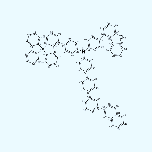 c1ccc(C2(c3ccccc3)c3ccccc3-c3c(-c4ccc(N(c5ccc(-c6ccc(-c7cccc(-c8ccc9ccccc9c8)c7)cc6)cc5)c5ccc(-c6cccc7oc8ccccc8c67)cc5)cc4)cccc32)cc1